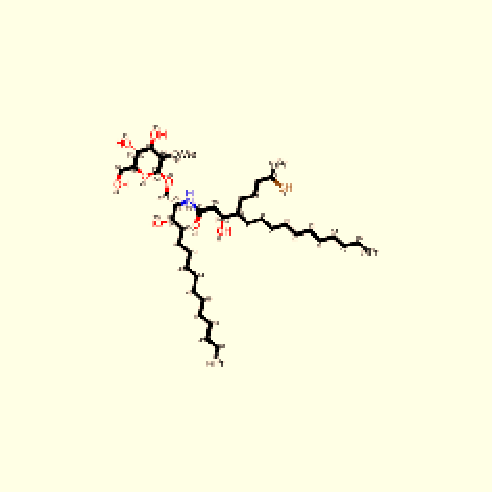 CCCC(S)CCCC(CCCCCCCCCCC(C)C)[C@@H](O)CC(=O)N[C@@H](CO[C@H]1OC(CO)[C@H](O)C(O)C1OC)[C@H](O)CCCCCCCCCCCC(C)C